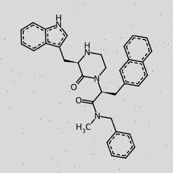 CN(Cc1ccccc1)C(=O)[C@H](Cc1ccc2ccccc2c1)N1CCN[C@H](Cc2c[nH]c3ccccc23)C1=O